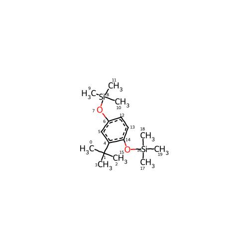 CC(C)(C)c1cc(O[Si](C)(C)C)ccc1O[Si](C)(C)C